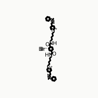 CN(/N=C/c1cc[n+](CCCCCCNC(=O)c2ccc(C(=O)NCCCCCC[n+]3ccc(/C=N/N(C)c4ccccc4)cc3)cc2)cc1)c1ccccc1.[Br-].[Br-]